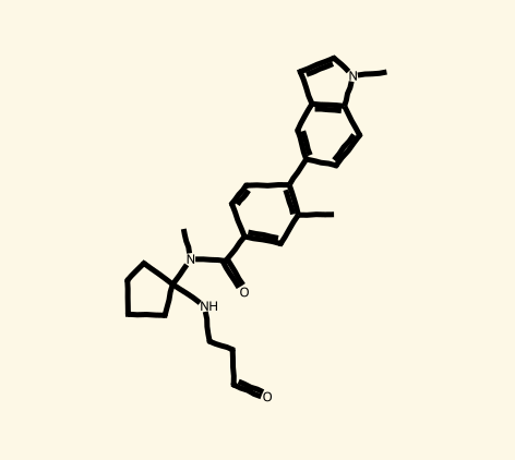 Cc1cc(C(=O)N(C)C2(NCCC=O)CCCC2)ccc1-c1ccc2c(ccn2C)c1